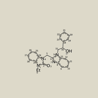 CCn1c(=O)n(Cc2nc3ccccc3n2CC(O)c2ccccc2)c2ccccc21